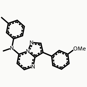 COc1cccc(-c2cnn3c(N(C)c4cccc(C)c4)ccnc23)c1